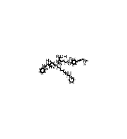 Cc1cc(N(CCCCCNCCN2CCCCC2)c2nc(C(=O)O)c(CCCOc3ccc(C#CCN(C)C)cc3F)s2)nnc1Nc1nc2ccccc2s1